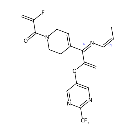 C=C(F)C(=O)N1CC=C(/C(=N/C=C\C)C(=C)Oc2cnc(C(F)(F)F)nc2)CC1